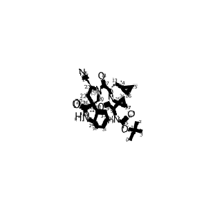 CC(C)(C)OC(=O)NC1C(=O)N([C@@H](CC2CC2)C(=O)N2C[C@]3(C[C@H]2C#N)C(=O)Nc2ccccc23)C12CC2